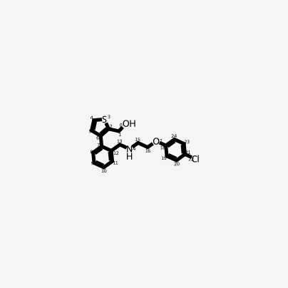 OCc1sccc1-c1ccccc1CNCCOc1ccc(Cl)cc1